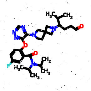 CC(C)C(CCC=O)N1CC2(CCN(c3ncnnc3Oc3ccc(F)cc3C(=O)N(C(C)C)C(C)C)C2)C1